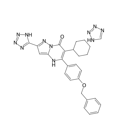 O=c1c(C2CCCCC2)c(-c2ccc(OCc3ccccc3)cc2)[nH]c2cc(-c3nnn[nH]3)nn12.c1nnn[nH]1